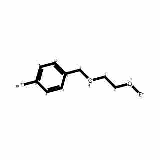 CCOCCO[CH]c1ccc(F)cc1